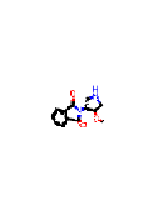 COC1CNCC1N1C(=O)c2ccccc2C1=O